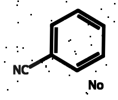 N#Cc1ccccc1.[No]